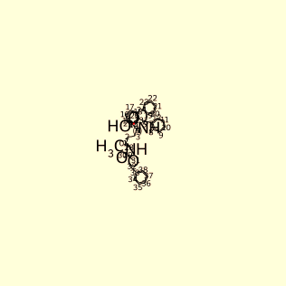 CC(CC[C@H](NC(c1ccccc1)(c1ccccc1)c1ccccc1)C(=O)O)NC(=O)OCc1ccccc1